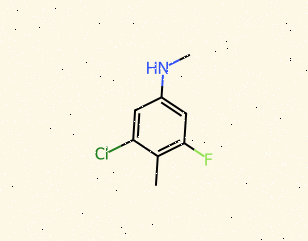 CNc1cc(F)c(C)c(Cl)c1